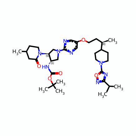 CC1CCN([C@H]2CN(c3ncc(OCC[C@@H](C)C4CCN(c5nc(C(C)C)no5)CC4)cn3)C[C@@H]2NC(=O)OC(C)(C)C)C(=O)C1